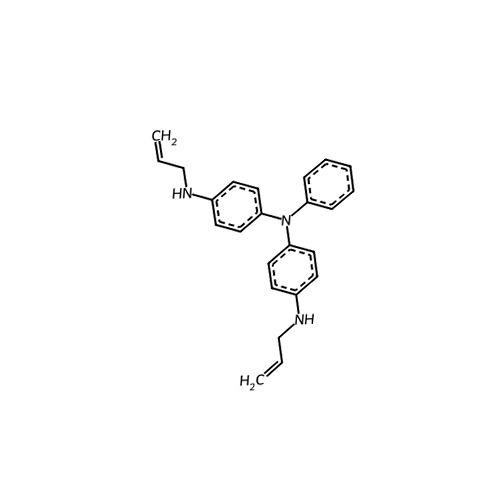 C=CCNc1ccc(N(c2ccccc2)c2ccc(NCC=C)cc2)cc1